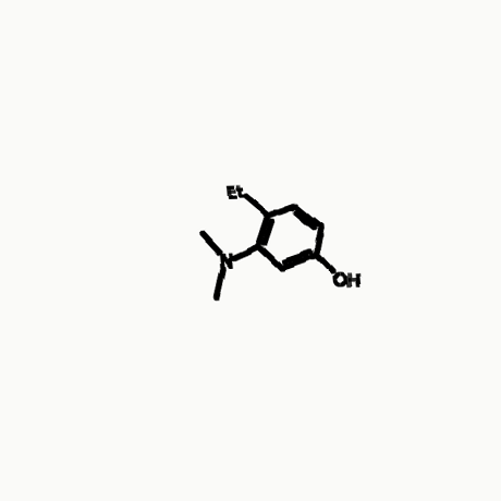 CCc1ccc(O)cc1N(C)C